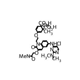 CNC(=O)COc1cc2cc(Nc3nc(N(C)C)ncc3Cl)ccc2n(CCOC2=CC(C)(C(=O)O)C(C)(C(=O)O)C=C2)c1=O